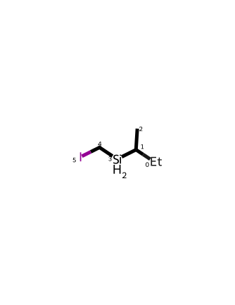 CCC(C)[SiH2]CI